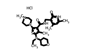 CCN(c1sc(N2CCN(C)CC2)c(C(=O)NCc2c(C)cc(C)[nH]c2=O)c1C)C1CCOCC1.Cl